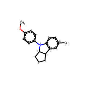 COc1ccc(N2c3ccc(C)cc3C3CCCC32)cc1